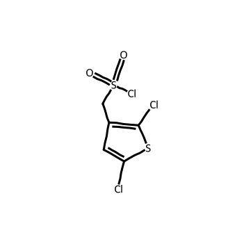 O=S(=O)(Cl)Cc1cc(Cl)sc1Cl